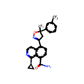 NC(=O)c1ccc(C2=NOC(c3cccc(C(F)(F)F)c3)(C(F)(F)F)C2)c2ccnc(C3CC3)c12